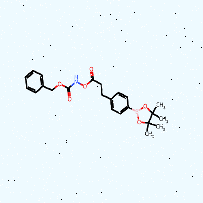 CC1(C)OB(c2ccc(CCC(=O)ONC(=O)OCc3ccccc3)cc2)OC1(C)C